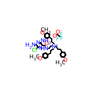 COc1ccc(CCC[N+](CCCc2ccc(OC)cc2)(CCCc2ccc(OC)cc2)CCNC(=O)c2nc(Cl)c(N)nc2N)cc1.O=C([O-])C(F)(F)F